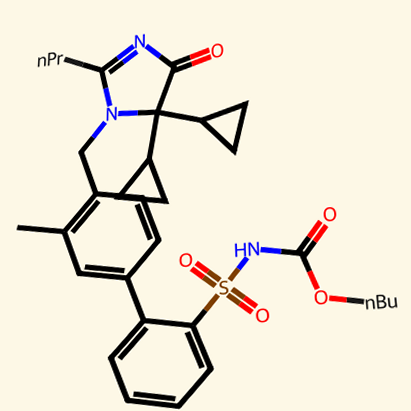 CCCCOC(=O)NS(=O)(=O)c1ccccc1-c1ccc(CN2C(CCC)=NC(=O)C2(C2CC2)C2CC2)c(C)c1